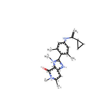 C=C(Nc1cc(C)c(-c2nc3cc(C(F)(F)F)n(CC)c(=O)c3n2C)c(C)c1)C1CC1